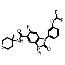 CC(C)n1c(=O)n(-c2cccc(OC(F)F)c2)c2cc(F)c(C(=O)NC3(C)CCSCC3)cc21